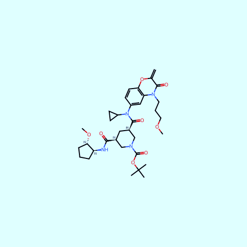 C=C1Oc2ccc(N(C(=O)[C@@H]3C[C@H](C(=O)N[C@H]4CCC[C@@H]4OC)CN(C(=O)OC(C)(C)C)C3)C3CC3)cc2N(CCCOC)C1=O